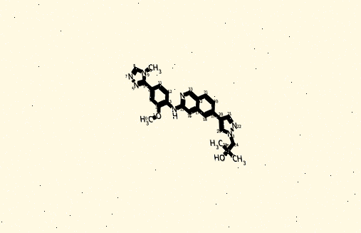 COc1cc(-c2nncn2C)ccc1Nc1cc2cc(-c3cnn(CC(C)(C)O)c3)ccc2cn1